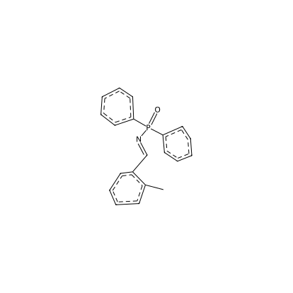 Cc1ccccc1C=NP(=O)(c1ccccc1)c1ccccc1